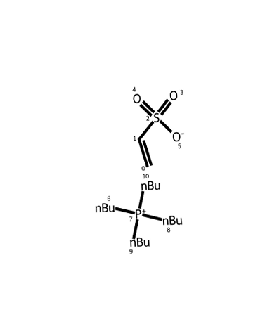 C=CS(=O)(=O)[O-].CCCC[P+](CCCC)(CCCC)CCCC